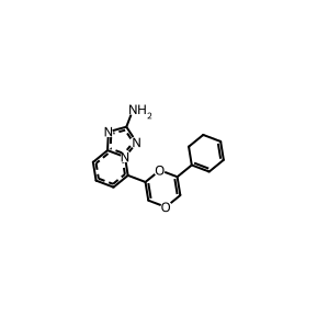 Nc1nc2cccc(C3=COC=C(C4=CC=CCC4)O3)n2n1